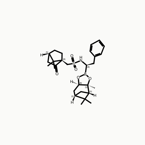 CC1(C)[C@@H]2C[C@H]3OB([C@H](Cc4ccccc4)NS(=O)(=O)C[C@@]45CC[C@@H](CC4=O)C5(C)C)O[C@@]3(C)[C@H]1C2